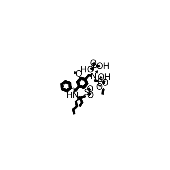 CCCC[C@]1(CC)CS(=O)(=O)c2cc(CN(CP(=O)(O)O)CP(=O)(O)OCC)c(OC)cc2[C@@H](c2ccccc2)N1